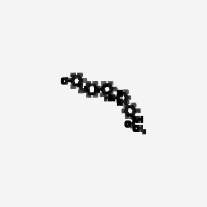 CC(=O)Nc1ccc(-c2ccnc(Nc3cccc(N4CCN(Cc5cccc(Cl)c5)CC4)c3)n2)cc1